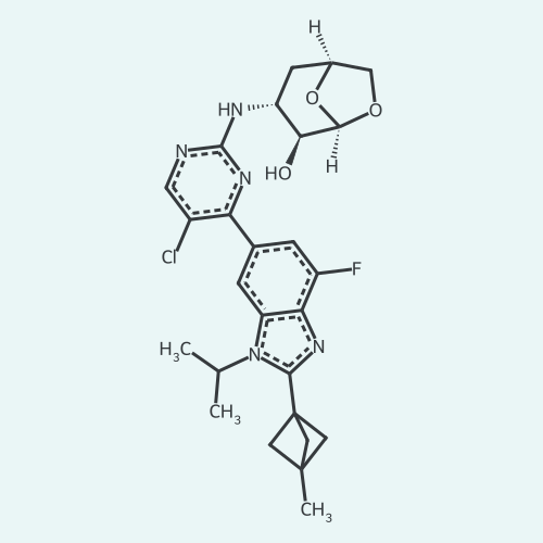 CC(C)n1c(C23CC(C)(C2)C3)nc2c(F)cc(-c3nc(N[C@@H]4C[C@H]5CO[C@H](O5)[C@H]4O)ncc3Cl)cc21